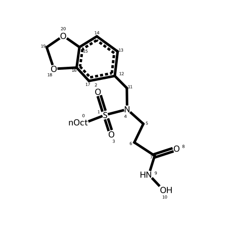 CCCCCCCCS(=O)(=O)N(CCC(=O)NO)Cc1ccc2c(c1)OCO2